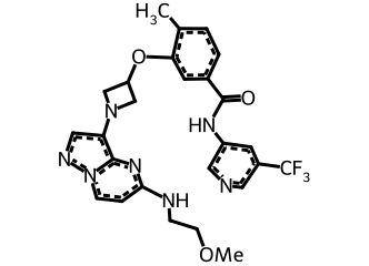 COCCNc1ccn2ncc(N3CC(Oc4cc(C(=O)Nc5cncc(C(F)(F)F)c5)ccc4C)C3)c2n1